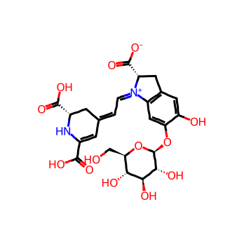 O=C(O)C1=C/C(=C/C=[N+]2\c3cc(O[C@@H]4O[C@H](CO)[C@@H](O)[C@H](O)[C@H]4O)c(O)cc3C[C@H]2C(=O)[O-])C[C@@H](C(=O)O)N1